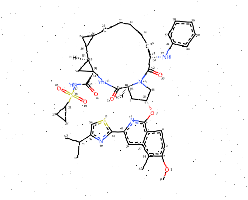 COc1ccc2c(O[C@@H]3C[C@H]4C(=O)N[C@]5(C(=O)NS(=O)(=O)C6CC6)C[C@H]5C5CC5CCCCC[C@H](Nc5ccccc5)C(=O)N4C3)nc(-c3nc(C(C)C)cs3)cc2c1C